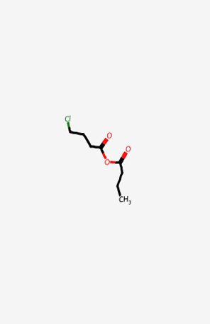 CCCC(=O)OC(=O)CCCCl